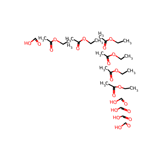 CCOC(C)=O.CCOC(C)=O.CCOC(C)=O.CCOC(C)=O.CCOC(C)=O.CCOC(C)=O.O=CO.O=CO.O=CO.O=CO.O=CO